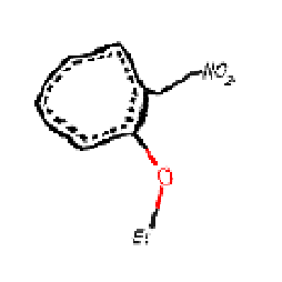 C[CH]Oc1ccccc1[N+](=O)[O-]